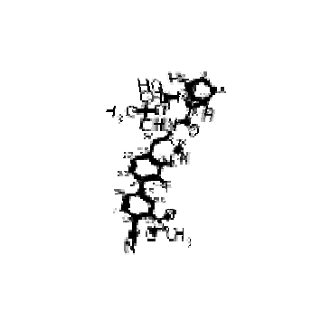 CC(C)(C)OC(O)N1[C@@H]2CC[C@@H](C2)[C@H]1C(=O)N[C@H](C#N)Cc1ccc(-c2ccc(C#N)c(S(C)(=O)=O)c2)c(F)c1F